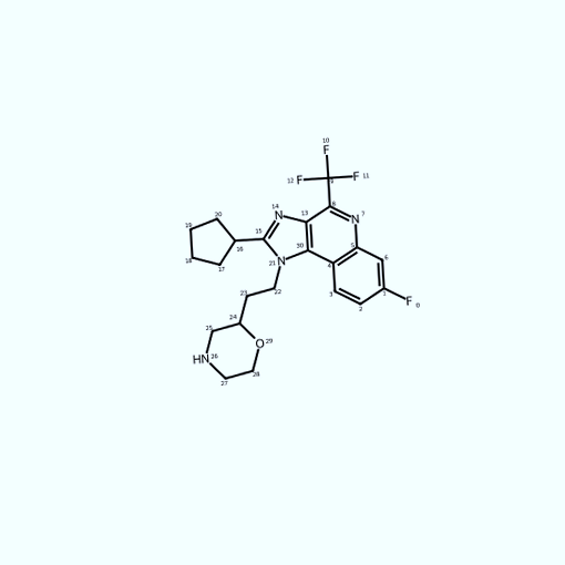 Fc1ccc2c(c1)nc(C(F)(F)F)c1nc(C3CCCC3)n(CCC3CNCCO3)c12